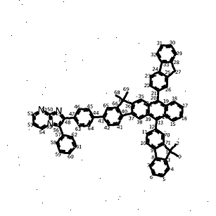 CC1(C)c2ccccc2-c2ccc(-c3c4ccccc4c(-c4ccc5c(c4)Cc4ccccc4-5)c4cc5c(cc34)-c3ccc(-c4ccc(-c6nc7ncccn7c6-c6ccccc6)cc4)cc3C5(C)C)cc21